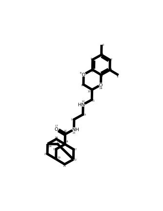 Cc1cc(C)c2c(c1)OCC(CNCCNC(=O)C13CC4CC(CC(C4)C1)C3)O2